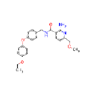 CCOc1ccc(Oc2ccc(CNC(=O)c3ccc(COC)nc3N)cc2)cc1